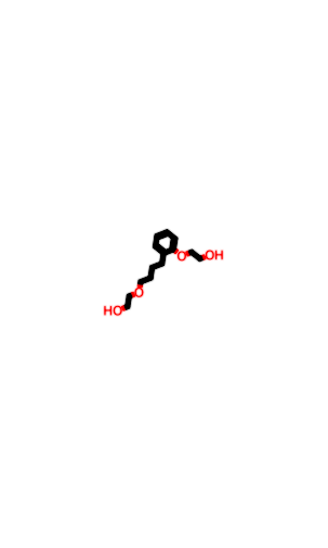 OCCOCCCCc1ccccc1OCCO